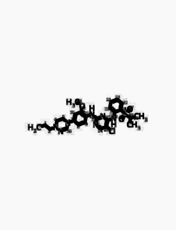 CCCN1CCN(c2ccc(Nc3ncc(Cl)c(Nc4ccccc4S(=O)(=O)C(C)C)n3)c(OC)c2)C=N1